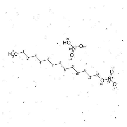 CCCCCCCCCCCCCCO[N+](=O)[O-].O=[N+]([O-])O